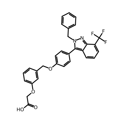 O=C(O)COc1cccc(COc2ccc(-c3c4cccc(C(F)(F)F)c4nn3Cc3ccccc3)cc2)c1